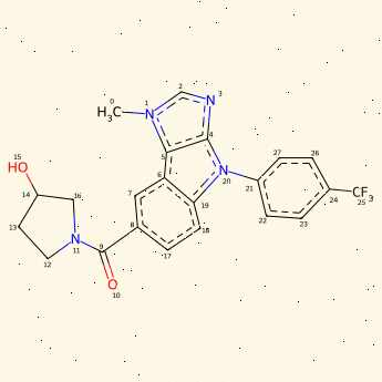 Cn1cnc2c1c1cc(C(=O)N3CCC(O)C3)ccc1n2-c1ccc(C(F)(F)F)cc1